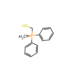 C=P(CS)(c1ccccc1)c1ccccc1